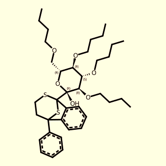 CCCCOC[C@H]1O[C@@](O)(C23SCCC(c4ccccc4)(S2)c2ccccc23)[C@H](OCCCC)[C@@H](OCCCC)[C@@H]1OCCCC